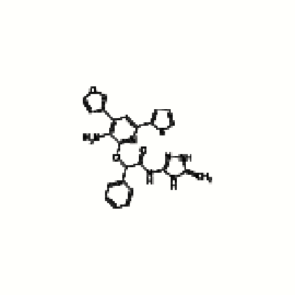 C=C1NN=C(NC(=O)C(Oc2nc(-c3cccs3)cc(-c3ccoc3)c2N)c2ccccc2)N1